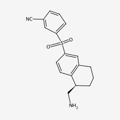 N#Cc1cccc(S(=O)(=O)c2ccc3c(c2)CCC[C@H]3CN)c1